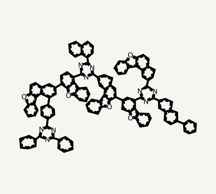 c1ccc(-c2ccc3cc(-c4nc(-c5ccc6ccc7oc8ccccc8c7c6c5)nc(-c5cc(-c6cc7ccc(-c8nc(-c9cccc%10ccccc9%10)nc(-c9ccc(-c%10cc(-c%11ccc(-c%12nc(-c%13ccccc%13)nc(-c%13ccccc%13)n%12)cc%11)c%11c(ccc%12oc%13ccccc%13c%12%11)c%10)c%10oc%11ccccc%11c9%10)n8)cc7c7c6oc6ccccc67)cc6oc7ccccc7c56)n4)ccc3c2)cc1